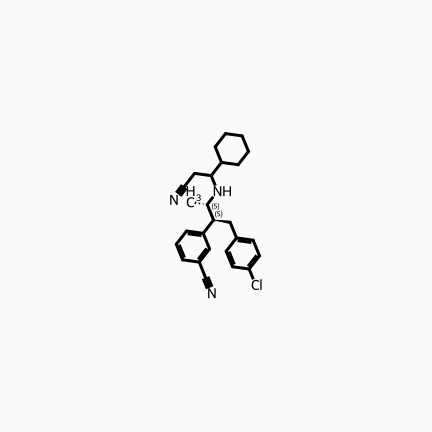 C[C@H](NC(CC#N)C1CCCCC1)[C@@H](Cc1ccc(Cl)cc1)c1cccc(C#N)c1